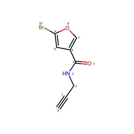 C#CCNC(=O)c1coc(Br)c1